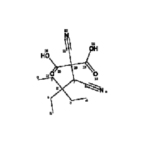 CCC(CC)(CC)C(C#N)C(C#N)(C(=O)O)C(=O)O